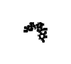 CC(C)O[C@]1(COP(=O)(O)OP(=O)(O)O)O[C@@H](n2ccc(=O)[nH]c2=O)[C@H](O)[C@@H]1O